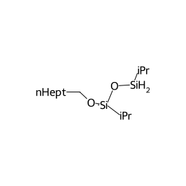 CCCCCCCCO[Si](O[SiH2]C(C)C)C(C)C